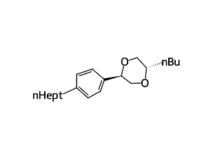 CCCCCCCc1ccc([C@@H]2CO[C@@H](CCCC)CO2)cc1